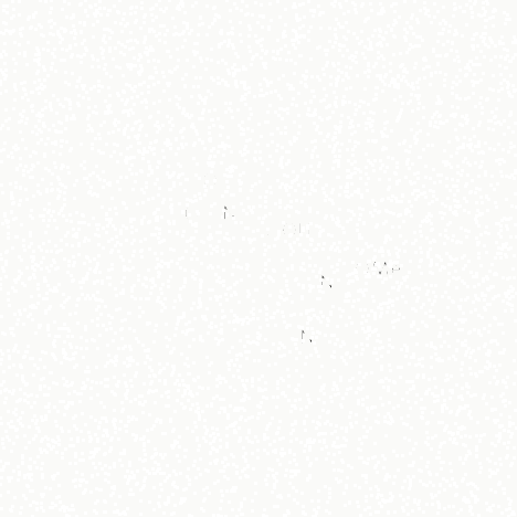 COc1ccc2nccc(C#CC3(O)CCN(C(=O)OCc4ccccc4)CC3)c2n1